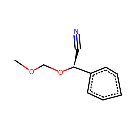 COCO[C@@H](C#N)c1ccccc1